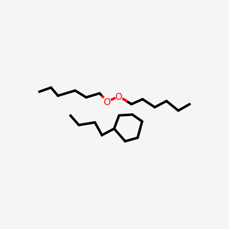 CCCCC1CCCCC1.CCCCCCOOCCCCCC